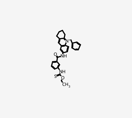 CCOC(=S)Nc1cccc(C(=O)Nc2ccc3c(c2)cc2c([n+]3Cc3ccccc3)CCCC2)c1